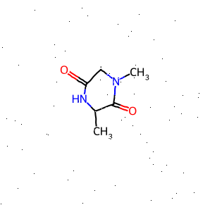 CC1NC(=O)[CH]N(C)C1=O